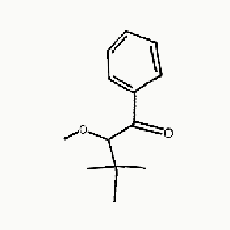 COC(C(=O)c1ccccc1)C(C)(C)C